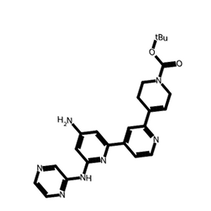 CC(C)(C)OC(=O)N1CC=C(c2cc(-c3cc(N)cc(Nc4cnccn4)n3)ccn2)CC1